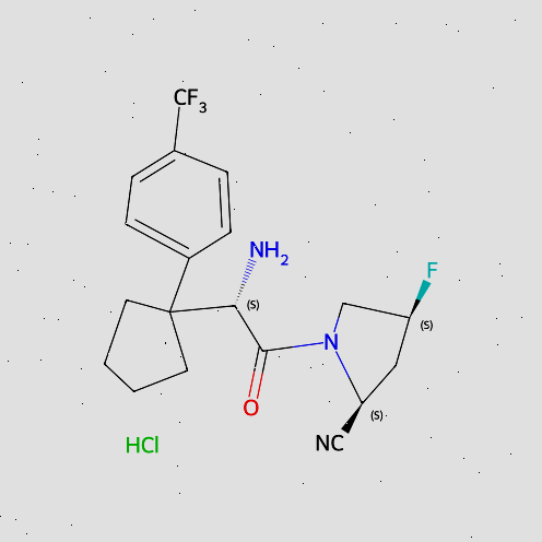 Cl.N#C[C@@H]1C[C@H](F)CN1C(=O)[C@@H](N)C1(c2ccc(C(F)(F)F)cc2)CCCC1